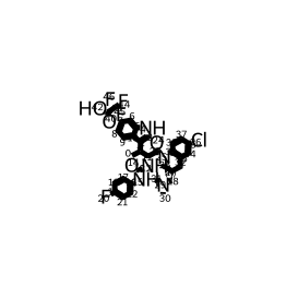 CC(c1c[nH]c2ccccc12)C(NC(=O)Nc1ccc(F)cc1)C(=O)N1C[C@@H](CN(C)C)Cc2cc(Cl)ccc21.O=C(O)C(F)(F)F